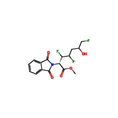 COC(=O)[C@@H](C(F)C(F)CC(O)CF)N1C(=O)c2ccccc2C1=O